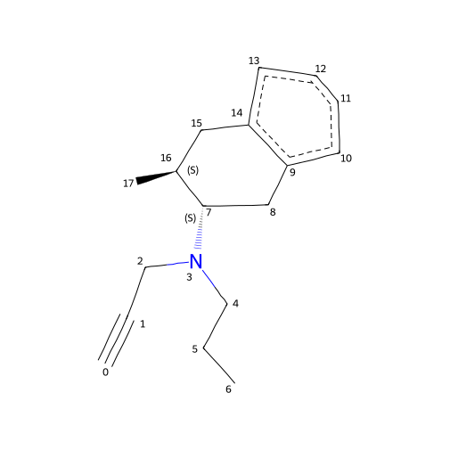 C#CCN(CCC)[C@H]1Cc2ccccc2C[C@@H]1C